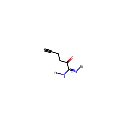 C#CCCC(=O)/C(=N\CC)NCC